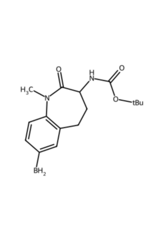 Bc1ccc2c(c1)CCC(NC(=O)OC(C)(C)C)C(=O)N2C